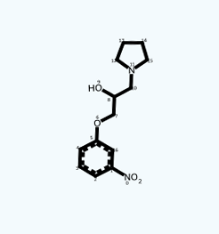 O=[N+]([O-])c1cccc(OCC(O)CN2CCCC2)c1